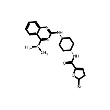 CN(C)c1nc(N[C@H]2CC[C@@H](NC(=O)C3=CCC(Br)O3)CC2)nc2ccccc12